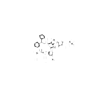 CC(C)(C)OC(=O)NC[C@@H]1C[C@@H](OC(C)(C)C)CN1c1nc(NCC(c2ccccc2)c2ccccc2)c2ncn([C@@H]3O[C@H](COC(=O)C(F)(F)F)[C@@H](O)[C@H]3O)c2n1